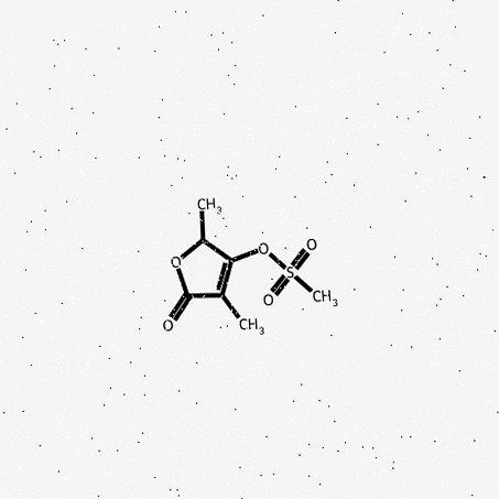 CC1=C(OS(C)(=O)=O)C(C)OC1=O